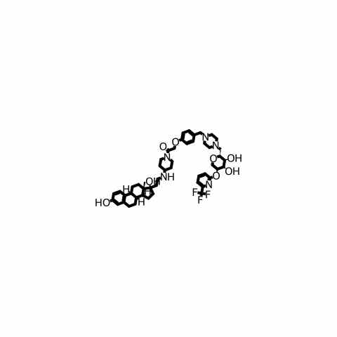 C[C@]12CC[C@@H]3c4ccc(O)cc4CC[C@H]3[C@@H]1CC[C@@]2(O)CCNC1CCN(C(=O)COc2ccc(CN3CCN(C[C@H]4OC[C@H](Oc5cccc(C(F)(F)F)n5)[C@@H](O)[C@H]4O)CC3)cc2)CC1